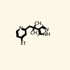 CCc1ccnc(CC(C)(C)c2cn[nH]c2)c1